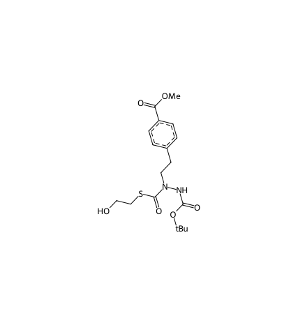 COC(=O)c1ccc(CCN(NC(=O)OC(C)(C)C)C(=O)SCCO)cc1